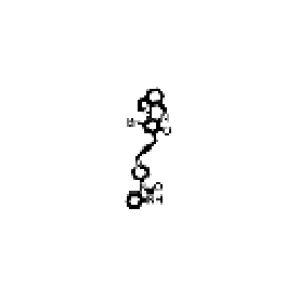 O=c1c(CC#CCN2CCC(n3c(=O)[nH]c4ccccc43)CC2)cc(Br)c2n3ccc4c3c(cnc1-2)CCC4